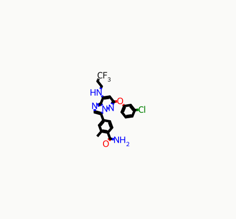 Cc1cc(-c2cnc3c(NCCC(F)(F)F)cc(Oc4cccc(Cl)c4)nn23)ccc1C(N)=O